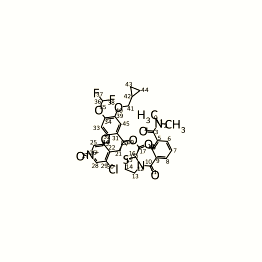 CN(C)C(=O)c1cccc(C(=O)N2CCS[C@H]2C(=O)O[C@@H](Cc2c(Cl)c[n+]([O-])cc2Cl)c2ccc(OC(F)F)c(OCC3CC3)c2)c1